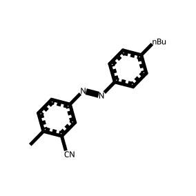 CCCCc1ccc(/N=N/c2ccc(C)c(C#N)c2)cc1